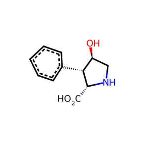 O=C(O)[C@H]1NC[C@H](O)[C@H]1c1ccccc1